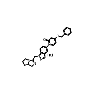 Cl.O=c1cc(OCc2ccccc2)ccn1-c1ccc2c(cnn2CC2=NCC3CCCN23)c1